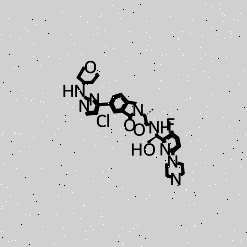 C[C@H](C(=O)N[C@H](CO)c1nc(N2CCN(C)CC2)ccc1F)N1Cc2ccc(-c3nc(NC4CCOCC4)ncc3Cl)cc2C1=O